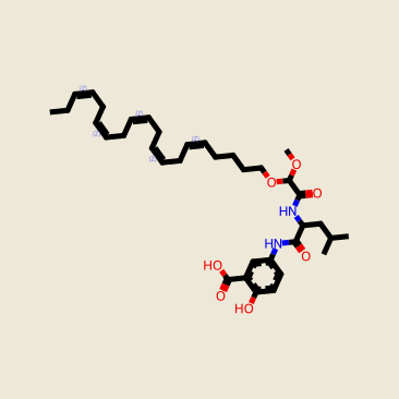 CC/C=C\C/C=C\C/C=C\C/C=C\C/C=C\CCCCOC(OC)C(=O)NC(CC(C)C)C(=O)Nc1ccc(O)c(C(=O)O)c1